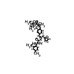 Cc1ccc(NNC(=O)CN(Cc2ccc(SC(C)(C)C(=O)OC(C)(C)C)cc2)Cc2ccco2)c(C)c1